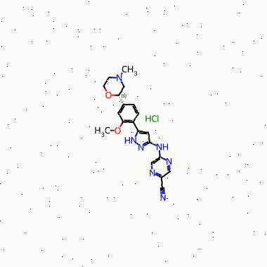 COc1cc([C@H]2CN(C)CCO2)ccc1-c1cc(Nc2cnc(C#N)cn2)n[nH]1.Cl